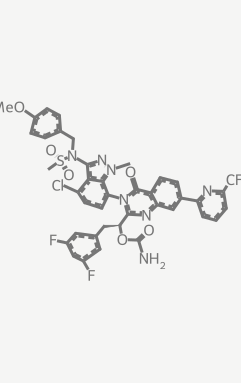 COc1ccc(CN(c2nn(C)c3c(-n4c([C@H](Cc5cc(F)cc(F)c5)OC(N)=O)nc5cc(-c6cccc(C(F)(F)F)n6)ccc5c4=O)ccc(Cl)c23)S(C)(=O)=O)cc1